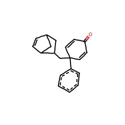 O=C1C=CC(CC2CC3C=CC2C3)(c2ccccc2)C=C1